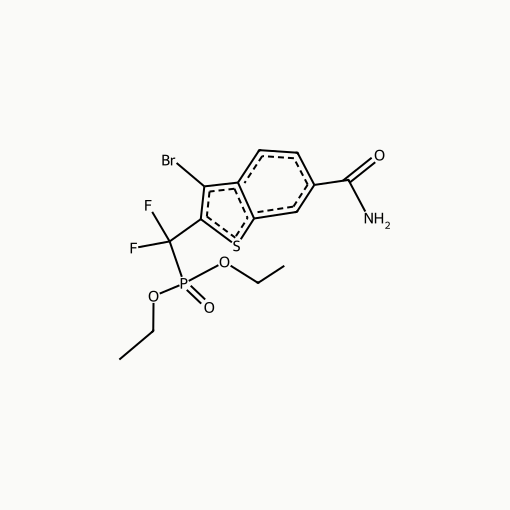 CCOP(=O)(OCC)C(F)(F)c1sc2cc(C(N)=O)ccc2c1Br